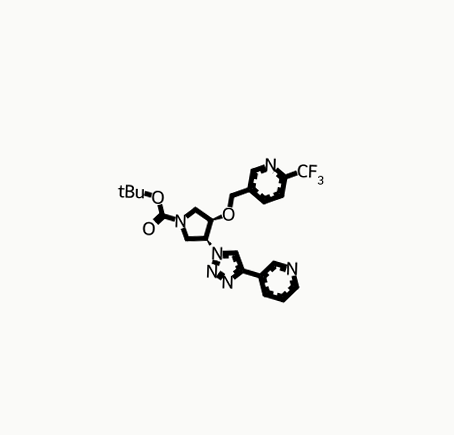 CC(C)(C)OC(=O)N1C[C@@H](n2cc(-c3cccnc3)nn2)[C@H](OCc2ccc(C(F)(F)F)nc2)C1